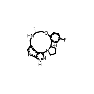 C[C@@H]1COc2ccc(F)cc2[C@H]2CCCN2c2n[nH]c3ncc(cc23)CN1